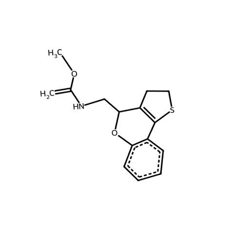 C=C(NCC1Oc2ccccc2C2=C1CCS2)OC